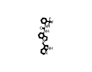 O=C(Nc1ccccc1C(F)(F)F)Nc1cccc2c1CCN2Cc1c[nH]c2ncccc12